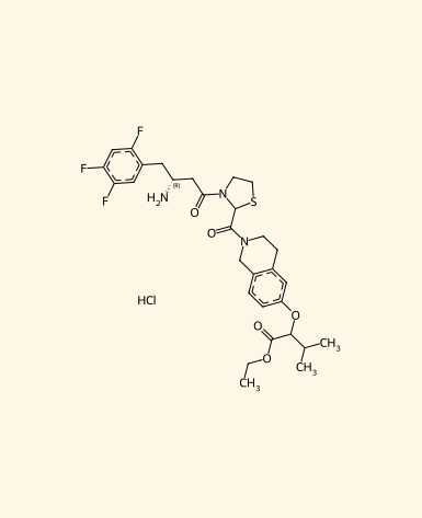 CCOC(=O)C(Oc1ccc2c(c1)CCN(C(=O)C1SCCN1C(=O)C[C@H](N)Cc1cc(F)c(F)cc1F)C2)C(C)C.Cl